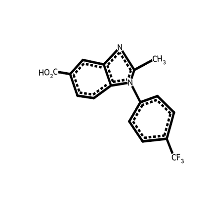 Cc1nc2cc(C(=O)O)ccc2n1-c1ccc(C(F)(F)F)cc1